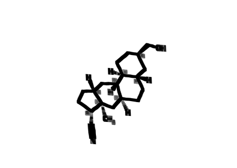 C[C@@]12C[C@@H]3CC[C@H]4C[C@H](CO)CC[C@@H]4[C@H]3C[C@H]1CC[C@H]2C#N